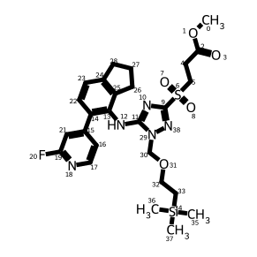 COC(=O)CCS(=O)(=O)c1nc(Nc2c(-c3ccnc(F)c3)ccc3c2CCC3)n(COCC[Si](C)(C)C)n1